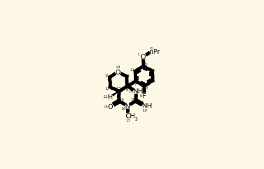 CCCOc1ccc(F)c(C23COCC[C@H]2C(=O)N(C)C(=N)N3)c1